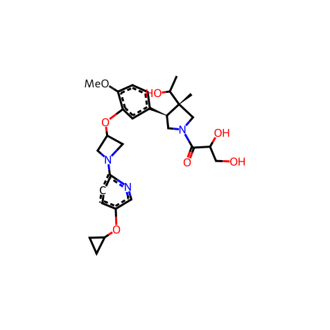 COc1ccc([C@@H]2CN(C(=O)C(O)CO)C[C@@]2(C)C(C)O)cc1OC1CN(c2ccc(OC3CC3)cn2)C1